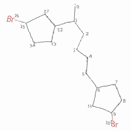 [CH2]C(CCCCC1CCC(Br)C1)C1CCC(Br)C1